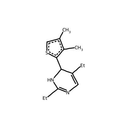 CCC1=CN=C(CC)NC1c1scc(C)c1C